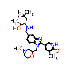 Cc1cc(-c2nc3cc(CN[C@@H](CC(C)C)C(C)O)ccc3n2CC2CN(C)CCO2)c[nH]c1=O